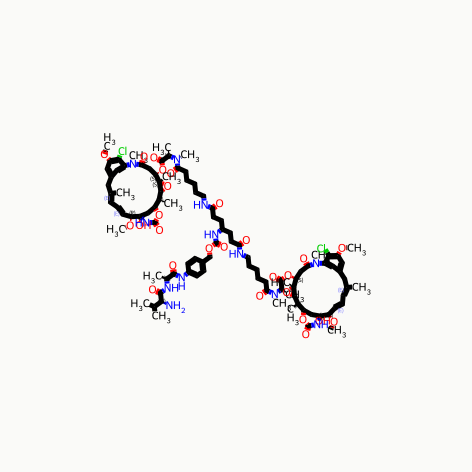 COc1cc2cc(c1Cl)N(C)C(=O)C[C@H](OC(=O)[C@H](C)N(C)C(=O)CCCCCNC(=O)CCC(CCC(=O)NCCCCCC(=O)N(C)[C@@H](C)C(=O)O[C@H]1CC(=O)N(C)c3cc(cc(OC)c3Cl)C/C(C)=C/C=C/[C@@H](OC)[C@@]3(O)CC(OC(=O)N3)[C@@H](C)C3O[C@]31C)NC(=O)OCc1ccc(NC(=O)[C@H](C)NC(=O)[C@@H](N)C(C)C)cc1)[C@]1(C)OC1[C@H](C)C1C[C@@](O)(NC(=O)O1)[C@H](OC)/C=C/C=C(\C)C2